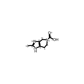 O=C(O)N1CCc2[nH]c(I)nc2C1